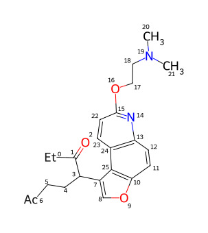 CCC(=O)C(CCC(C)=O)c1coc2ccc3nc(OCCN(C)C)ccc3c12